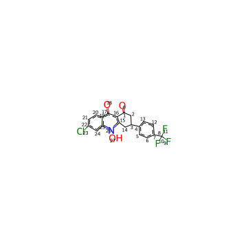 O=C1CC(c2ccc(C(F)(F)F)cc2)Cc2c1c(=O)c1ccc(Cl)cc1n2O